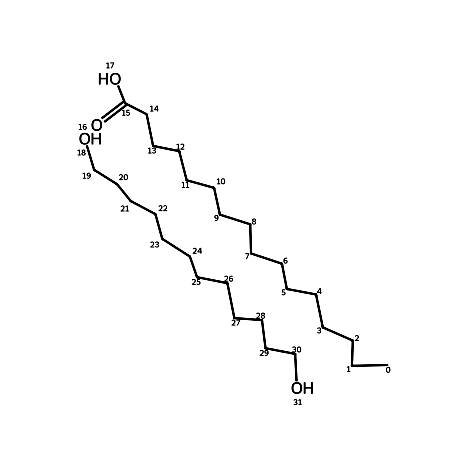 CCCCCCCCCCCCCCCC(=O)O.OCCCCCCCCCCCCO